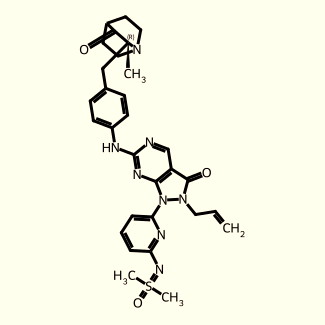 C=CCn1c(=O)c2cnc(Nc3ccc(C[C@]4(C)C(=O)C5CCN4CC5)cc3)nc2n1-c1cccc(N=S(C)(C)=O)n1